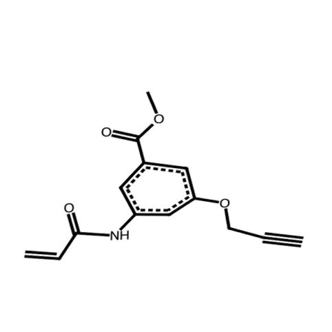 C#CCOc1cc(NC(=O)C=C)cc(C(=O)OC)c1